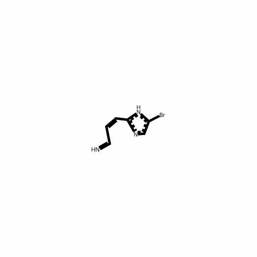 N=C/C=C\c1ncc(Br)[nH]1